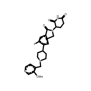 COc1cnccc1CN1CCC(c2cc3c(cc2F)C(=O)N(C2CCC(=O)NC2=O)C3)CC1